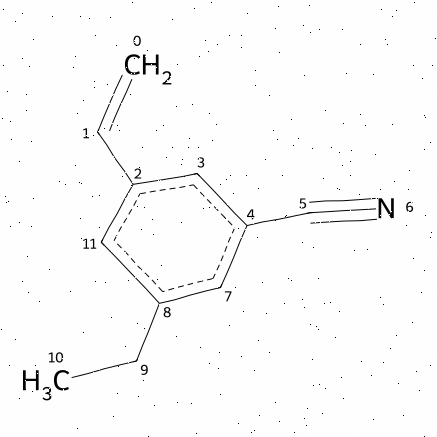 C=Cc1cc(C#N)cc(CC)c1